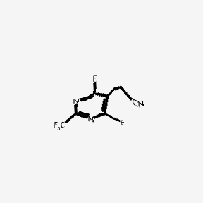 N#CCc1c(F)nc(C(F)(F)F)nc1F